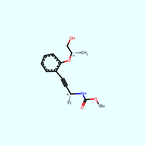 CC[C@H](C#Cc1ccccc1O[C@@H](C)CO)NC(=O)OC(C)(C)C